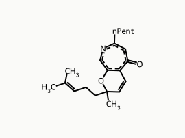 CCCCCc1cc(=O)c2c(cn1)OC(C)(CCC=C(C)C)C=C2